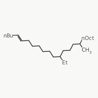 [CH2]CCC/C=C/CCCCCCC(CC)CCCC(C)CCCCCCC[CH2]